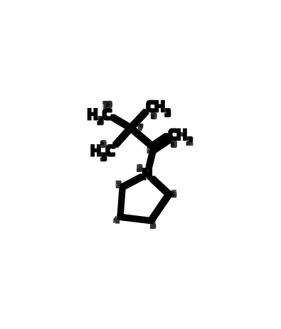 C=C(N1CCCC1)C(C)(C)C